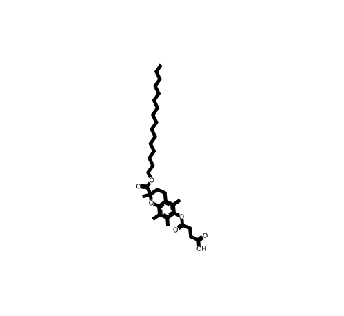 CCCCCCCCCCCCCCCCOC(=O)C1(C)CCc2c(C)c(OC(=O)CCC(=O)O)c(C)c(C)c2O1